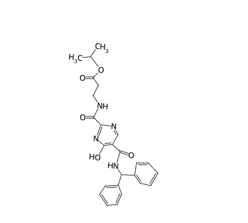 CC(C)OC(=O)CCNC(=O)c1ncc(C(=O)NC(c2ccccc2)c2ccccc2)c(O)n1